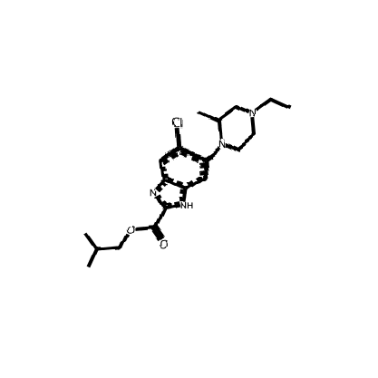 CCN1CCN(c2cc3[nH]c(C(=O)OCC(C)C)nc3cc2Cl)C(C)C1